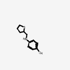 Oc1ccc(NCC2CCCS2)cc1